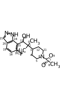 CC(C)(C1CCN(S(C)(=O)=O)CC1)C(O)c1c(F)ccc2cn[nH]c12